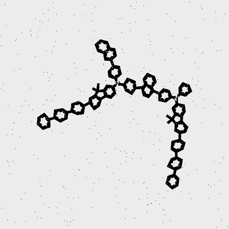 CC1(C)c2cc(-c3ccc(-c4ccc(-c5ccccc5)cc4)cc3)ccc2-c2ccc(N(c3ccccc3)c3ccc(-c4ccc(-c5ccc(N(c6ccc(-c7ccc8ccccc8c7)cc6)c6ccc7c(c6)C(C)(C)c6cc(-c8ccc(-c9ccc(-c%10ccccc%10)cc9)cc8)ccc6-7)cc5)c5ccccc45)cc3)cc21